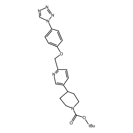 CC(C)(C)OC(=O)N1CCC(c2ccc(COc3ccc(-n4cnnn4)cc3)nc2)CC1